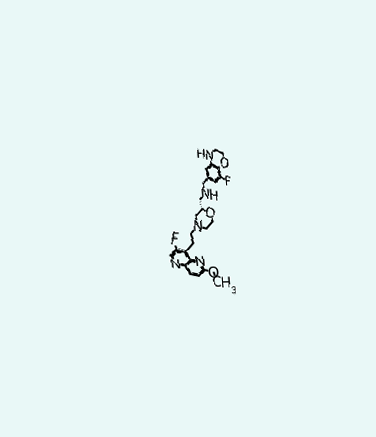 COc1ccc2ncc(F)c(CCN3CCO[C@@H](CNCc4cc(F)c5c(c4)NCCO5)C3)c2n1